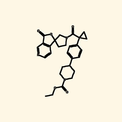 CCOC(=O)N1CCC(c2ccc(C3(C(=O)N4CCC5(C4)OC(=O)c4cnccc45)CC3)cc2)CC1